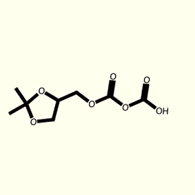 CC1(C)OCC(COC(=O)OC(=O)O)O1